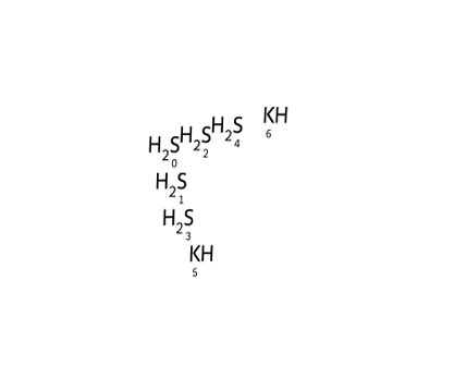 S.S.S.S.S.[KH].[KH]